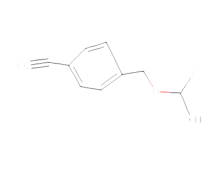 C#Cc1ccc(COC(C)F)cc1